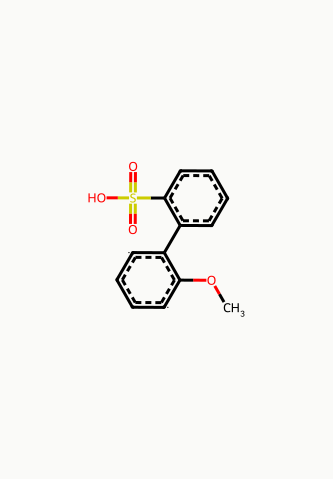 COc1[c]cc[c]c1-c1ccccc1S(=O)(=O)O